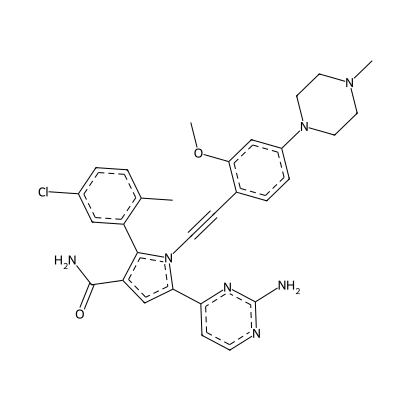 COc1cc(N2CCN(C)CC2)ccc1C#Cn1c(-c2ccnc(N)n2)cc(C(N)=O)c1-c1cc(Cl)ccc1C